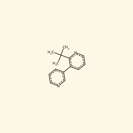 CC(C)(C)c1ncccc1-c1cccnc1